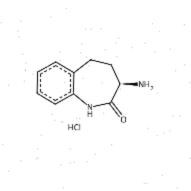 Cl.N[C@@H]1CCc2ccccc2NC1=O